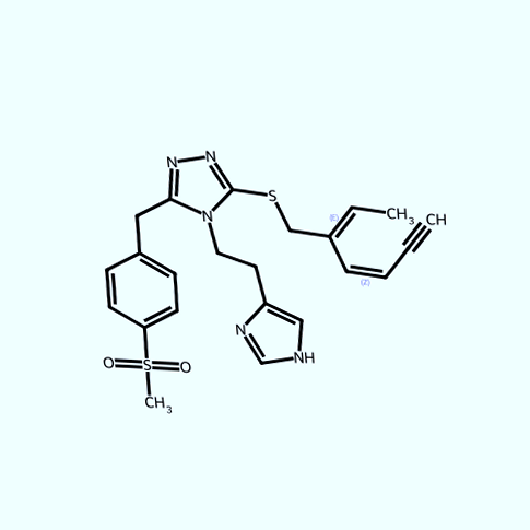 C#C/C=C\C(=C/C)CSc1nnc(Cc2ccc(S(C)(=O)=O)cc2)n1CCc1c[nH]cn1